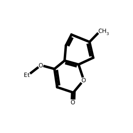 CCOc1cc(=O)oc2cc(C)ccc12